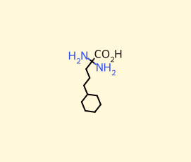 NC(N)(CCCC1CCCCC1)C(=O)O